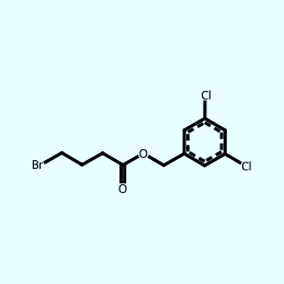 O=C(CCCBr)OCc1cc(Cl)cc(Cl)c1